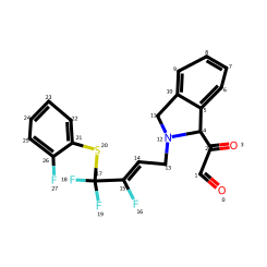 O=CC(=O)C1c2ccccc2CN1CC=C(F)C(F)(F)Sc1ccccc1F